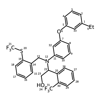 CCc1cccc(Oc2cccc(N(Cc3ccccc3SC(F)(F)F)C(CO)c3ccccc3C(F)(F)F)c2)c1